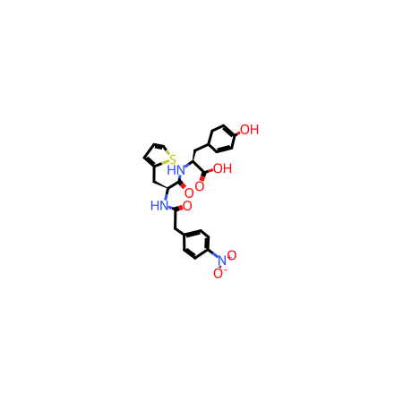 O=C(Cc1ccc([N+](=O)[O-])cc1)N[C@@H](Cc1cccs1)C(=O)N[C@@H](CC1C=CC(O)=CC1)C(=O)O